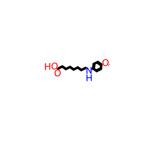 COc1ccc(NCCCCCCCC(=O)O)cc1